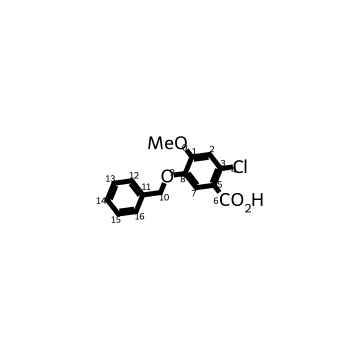 COc1cc(Cl)c(C(=O)O)cc1OCc1ccccc1